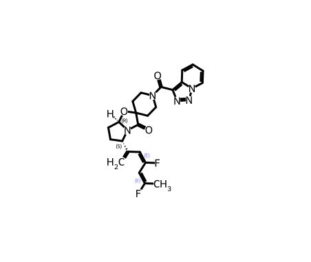 C=C(/C=C(F)\C=C(/C)F)[C@@H]1CC[C@H]2OC3(CCN(C(=O)c4nnn5ccccc45)CC3)C(=O)N21